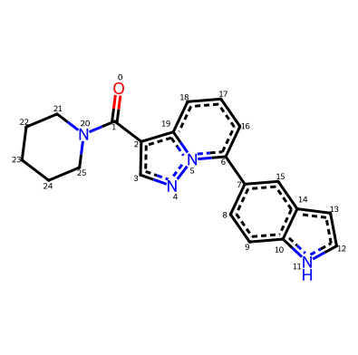 O=C(c1cnn2c(-c3ccc4[nH]ccc4c3)cccc12)N1CCCCC1